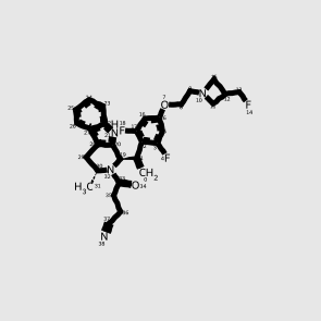 C=C(c1c(F)cc(OCCN2CC(CF)C2)cc1F)[C@@H]1c2[nH]c3ccccc3c2C[C@@H](C)N1C(=O)CCC#N